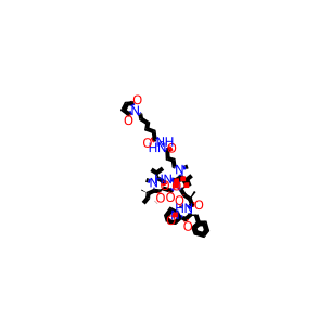 CC[C@H](C)[C@@H]([C@@H](CC(=O)N1CCC[C@H]1[C@H](OC)[C@@H](C)C(=O)N[C@@H](Cc1ccccc1)C(=O)N1OC2C=CC1CC2)OC)N(C)[C@H](C(=O)NC(=O)[C@H](C(C)C)N(C)CCCC(=O)NNC(=O)CCCCCN1C(=O)C=CC1=O)C(C)C